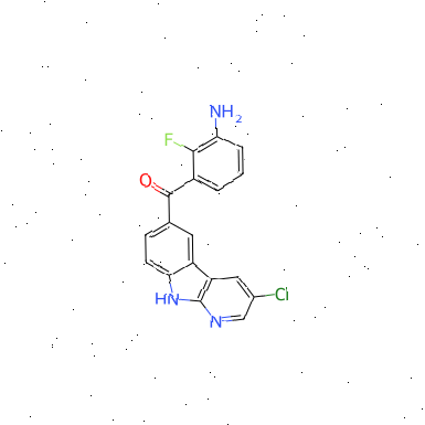 Nc1cccc(C(=O)c2ccc3[nH]c4ncc(Cl)cc4c3c2)c1F